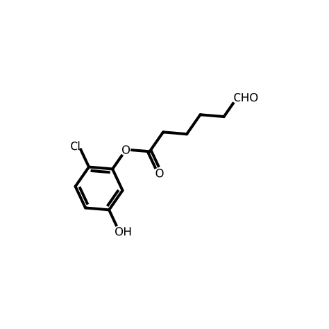 O=CCCCCC(=O)Oc1cc(O)ccc1Cl